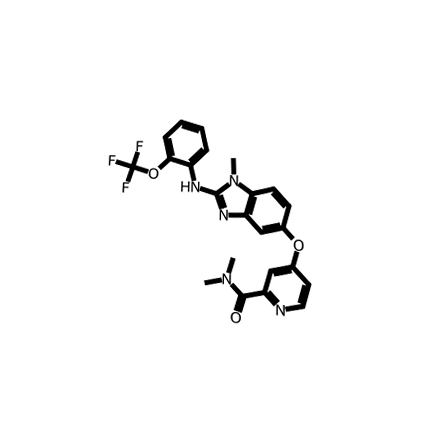 CN(C)C(=O)c1cc(Oc2ccc3c(c2)nc(Nc2ccccc2OC(F)(F)F)n3C)ccn1